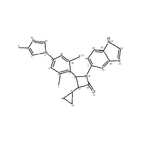 Cc1cn(-c2cc(F)c(C3C(C4CC4)C(=O)N3c3ccc4[nH]cnc4c3)c(F)c2)cn1